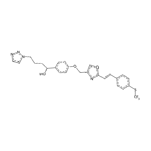 OC(CCCn1ccnn1)c1ccc(OCc2coc(/C=C/c3ccc(SC(F)(F)F)cc3)n2)cc1